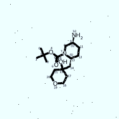 CC(C)(C)OC(=O)N1C[C@@H](N)CC[C@H]1CC1(O)CCOCC1